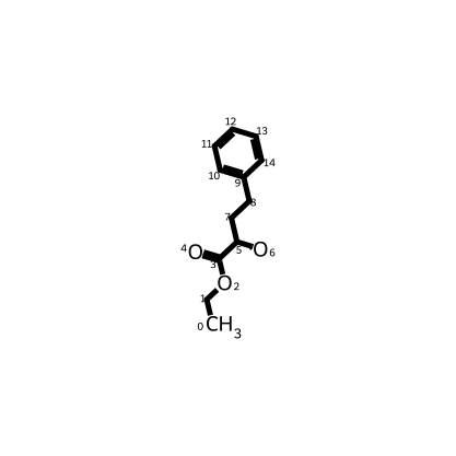 CCOC(=O)C([O])CCc1ccccc1